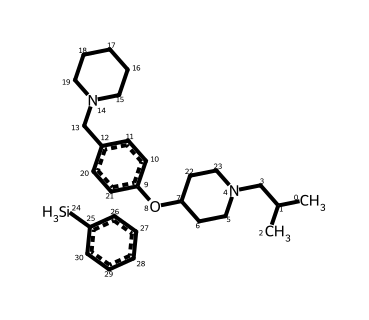 CC(C)CN1CCC(Oc2ccc(CN3CCCCC3)cc2)CC1.[SiH3]c1ccccc1